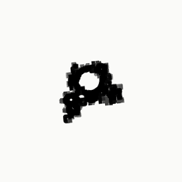 CO[C@H]1C=CC[C@@H]2CCCN2C(=O)C[C@](O)(C(=O)NS(=O)(=O)N(C)C)c2ccc3c(c2)N(C[C@@H]2CC[C@H]21)C[C@@]1(CCCc2cc(Cl)ccc21)CO3